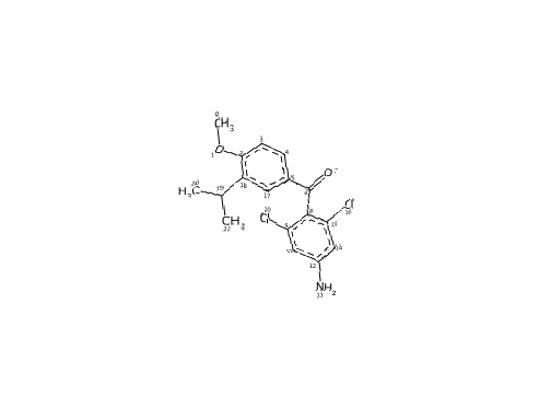 COc1ccc(C(=O)c2c(Cl)cc(N)cc2Cl)cc1C(C)C